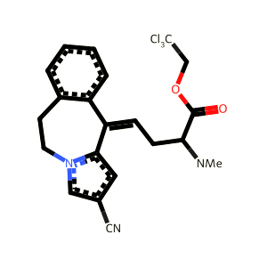 CNC(CC=C1c2ccccc2CCn2cc(C#N)cc21)C(=O)OCC(Cl)(Cl)Cl